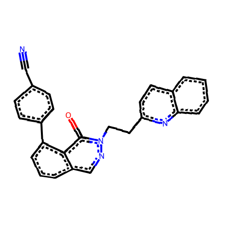 N#Cc1ccc(-c2cccc3cnn(CCc4ccc5ccccc5n4)c(=O)c23)cc1